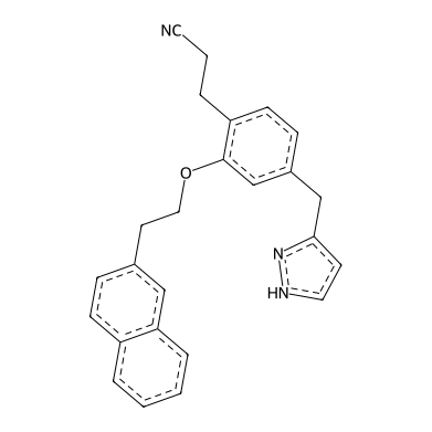 N#CCCc1ccc(Cc2cc[nH]n2)cc1OCCc1ccc2ccccc2c1